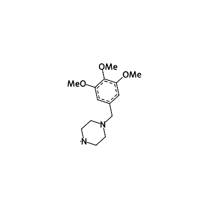 COc1cc(CN2CC[N]CC2)cc(OC)c1OC